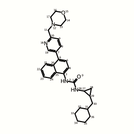 O=C(Nc1ccc(-c2ccc(CN3CCOCC3)nc2)c2ccccc12)NC1CC1CC1CCCCC1